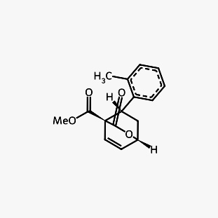 COC(=O)[C@@]12C=C[C@@H](C[C@H]1c1ccccc1C)OC2=O